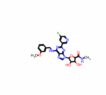 CNC(=O)C1OC(n2cnc3c(NCc4cccc(OC)c4)nc(-c4cncc(F)c4)nc32)C(O)C1O